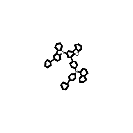 c1ccc(-c2ccc(N(c3ccc(-c4cc(-n5c6ccccc6c6cc(-c7ccccc7)ccc65)cc5c4oc4ccccc45)cc3)c3cccc4ccccc34)cc2)cc1